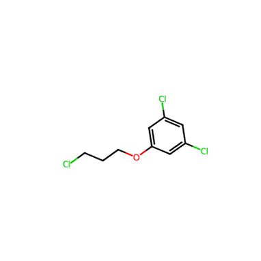 ClCCCOc1cc(Cl)cc(Cl)c1